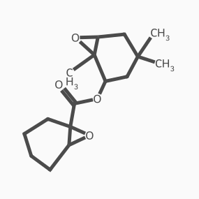 CC1(C)CC(OC(=O)C23CCCCC2O3)C2(C)OC2C1